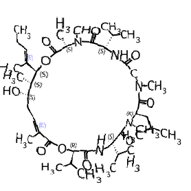 CC/C=C(\C)[C@H]1OC(=O)[C@H](C)N(C)C(=O)[C@H](C(C)C)NC(=O)CN(C)C(=O)[C@@H](CC(C)C)N(C)C(=O)[C@H](C(C)C)NC(=O)[C@@H](C(C)C)OC(=O)/C(C)=C/C[C@H](O)[C@@H]1C